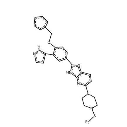 CCSN1CCN(c2ccc3nc(-c4ccc(OCc5ccccc5)c(-c5ccn[nH]5)c4)[nH]c3n2)CC1